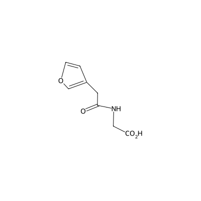 O=C(O)CNC(=O)Cc1ccoc1